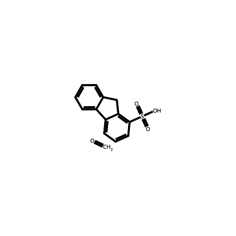 C=O.O=S(=O)(O)c1cccc2c1Cc1ccccc1-2